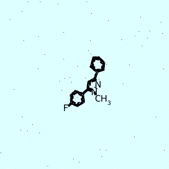 Cn1nc(-c2ccccc2)cc1-c1ccc(F)cc1